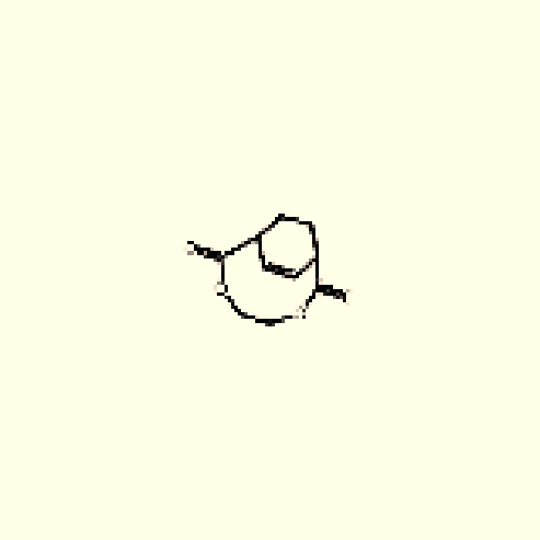 O=C1OCCOC(=O)C2C=CC1CC2